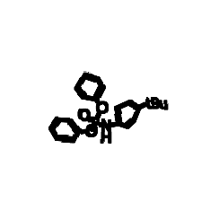 CC(C)(C)c1ccc(NP(=O)(Oc2ccccc2)Oc2ccccc2)cc1